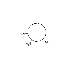 NC1CCCCCCCCC(O)CCC(N)C1